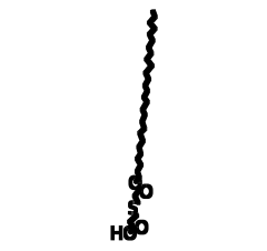 CCCCCCCCCCCCCCCCCCCCCCCCCCCCOC(=O)CCSCCC(=O)O